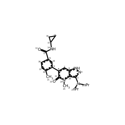 CCCN(CCC)c1n[nH]c2cc(-c3cc(C(=O)NC4CC4)ccc3C)c(=O)n(C)c12